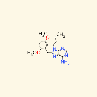 CCCCn1c(Cc2cc(OC)ccc2OC)nc2c(N)ncnc21